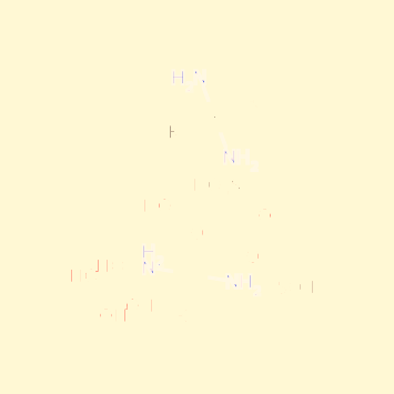 N[C](N)([K])OO.N[C](N)([K])[K].O=S(=O)(O)OOS(=O)(=O)O.OO.OO